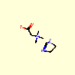 C1=NCCN1.C[N+](C)(C)CC(=O)[O-]